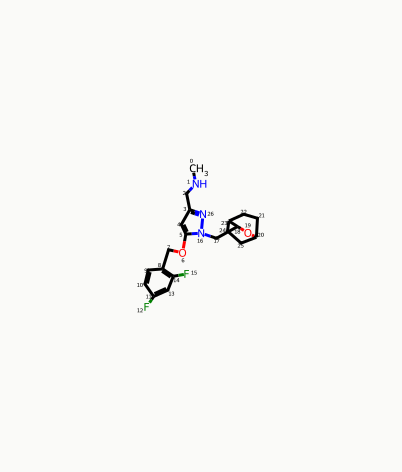 CNCc1cc(OCc2ccc(F)cc2F)n(CC2OC3CCC2CC3)n1